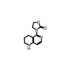 O=C1OCCN1c1nccc2c1CCCN2